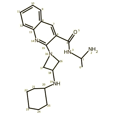 CC(N)NC(=O)c1cc2ccccc2nc1N1CC(NC2CCCCC2)C1